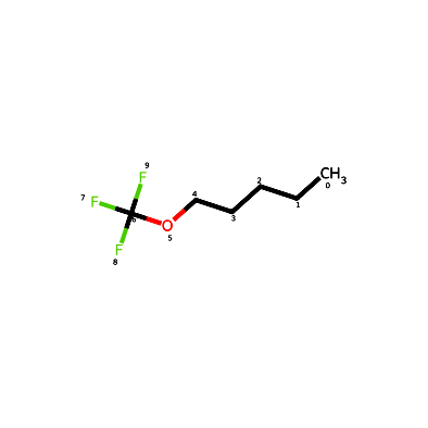 CCCCCOC(F)(F)F